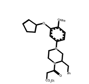 CCOC(=O)CC(=O)N1CCN(c2ccc(OC)c(OC3CCCC3)c2)CC1CC(C)C